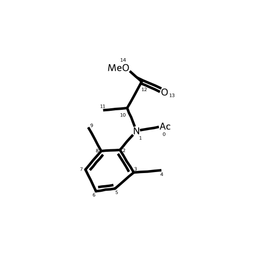 [CH2]C(=O)N(c1c(C)cccc1C)C(C)C(=O)OC